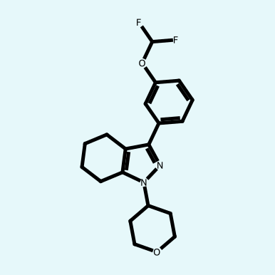 FC(F)Oc1cccc(-c2nn(C3CCOCC3)c3c2CCCC3)c1